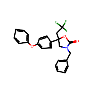 O=C1OC(CC(F)(F)F)(c2ccc(Oc3ccccc3)cc2)CN1Cc1ccccc1